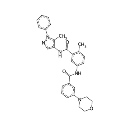 Cc1ccc(NC(=O)c2cccc(N3CCOCC3)c2)cc1C(=O)Nc1cnn(-c2ccccc2)c1C